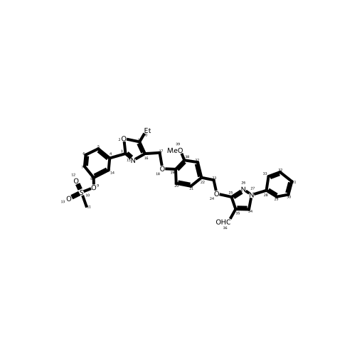 CCc1oc(-c2cccc(OS(C)(=O)=O)c2)nc1COc1ccc(COc2nn(-c3ccccc3)cc2C=O)cc1OC